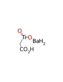 O=C(O)[CH2][Ti](=[O])=[O].[BaH2]